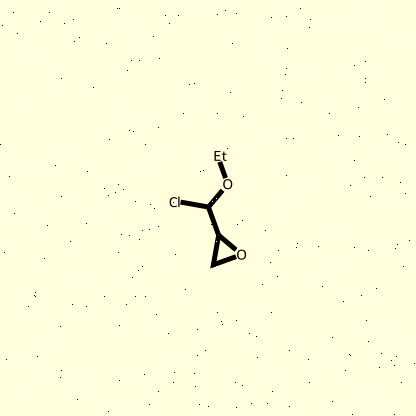 CCOC(Cl)C1CO1